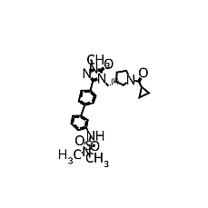 CN(C)S(=O)(=O)Nc1cccc(-c2ccc(-c3nn(C)c(=O)n3C[C@@H]3CCN(C(=O)C4CC4)C3)cc2)c1